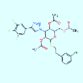 CC(=O)OCC1OC(SCCc2cccc(Cl)c2)C(OC(C)=O)C(n2cc(-c3cc(F)c(F)c(F)c3)nn2)C1OC(C)=O